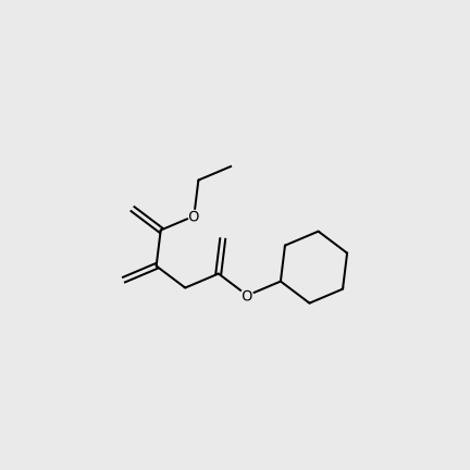 C=C(CC(=C)C(=C)OCC)OC1CCCCC1